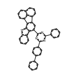 c1ccc(-c2ccc(-c3nc(-c4ccccc4)nc(-c4cc5c(c6sc7ccccc7c46)-c4cccc6cccc-5c46)n3)cc2)cc1